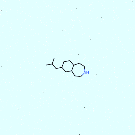 CC(C)CC1CCC2CCNCCC2C1